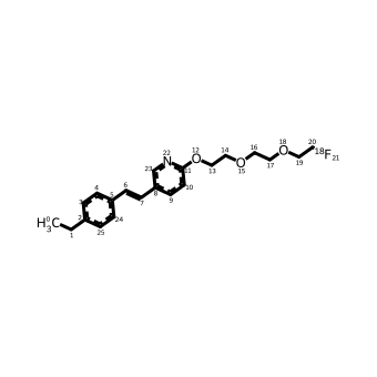 CCc1ccc(/C=C/c2ccc(OCCOCCOCC[18F])nc2)cc1